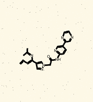 C=C/C=C(\N=C(C)C)c1cnn(CC(=O)Nc2ccc(-c3cnccn3)cn2)c1